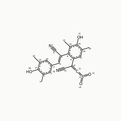 Cc1cc(C=C(C#N)c2c(C(=C=S(=O)=O)C#N)cc(C)c(O)c2C)cc(C)c1O